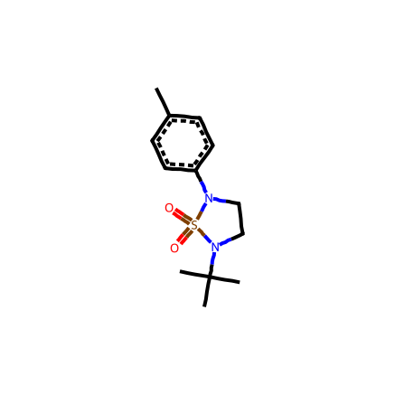 Cc1ccc(N2CCN(C(C)(C)C)S2(=O)=O)cc1